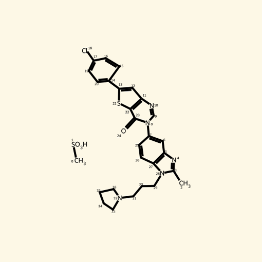 CS(=O)(=O)O.Cc1nc2cc(-n3cnc4cc(-c5ccc(Cl)cc5)sc4c3=O)ccc2n1CCCN1CCCC1